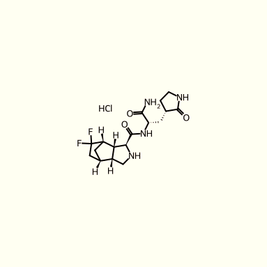 Cl.NC(=O)[C@H](C[C@@H]1CCNC1=O)NC(=O)[C@H]1NC[C@@H]2[C@H]3C[C@@H]([C@@H]21)C(F)(F)C3